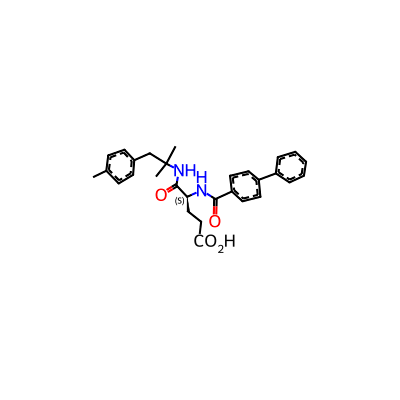 Cc1ccc(CC(C)(C)NC(=O)[C@H](CCC(=O)O)NC(=O)c2ccc(-c3ccccc3)cc2)cc1